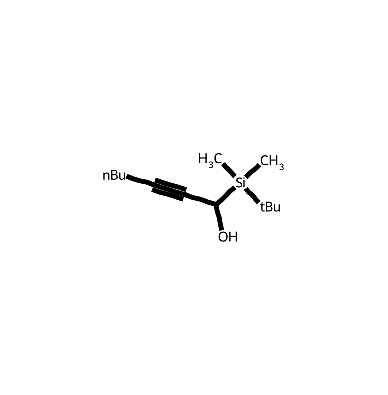 CCCCC#CC(O)[Si](C)(C)C(C)(C)C